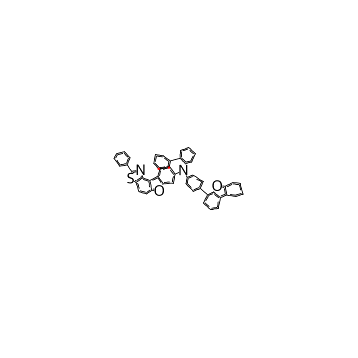 c1ccc(-c2nc3c(ccc4oc5cc(N(c6ccc(-c7cccc8c7oc7ccccc78)cc6)c6ccccc6-c6ccccc6)ccc5c43)s2)cc1